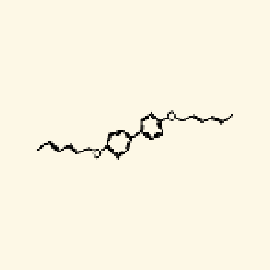 CC=CC=CCOc1ccc(-c2ccc(OCC=CC=CC)cc2)cc1